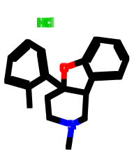 Cc1ccccc1C12CCN(C)CC1c1ccccc1O2.Cl